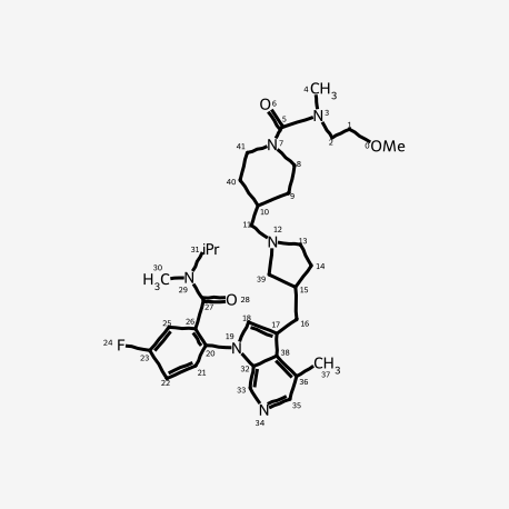 COCCN(C)C(=O)N1CCC(CN2CCC(Cc3cn(-c4ccc(F)cc4C(=O)N(C)C(C)C)c4cncc(C)c34)C2)CC1